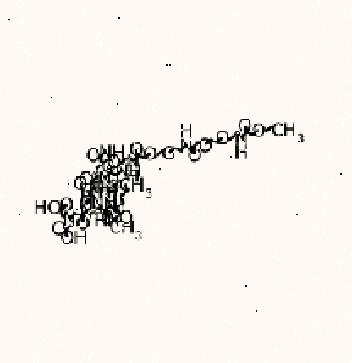 CCCC[C@H](NC(=O)[C@H](CNC(=O)CN(CC(=O)O)CC(=O)O)NC(=O)[C@H](CO)NC(=O)[C@H](CCC(N)=O)NC(=O)[C@H](CO)NC(=O)CNC(=O)COCCOCCNC(=O)COCCOCCNC(=O)COCCC)C(=O)NC